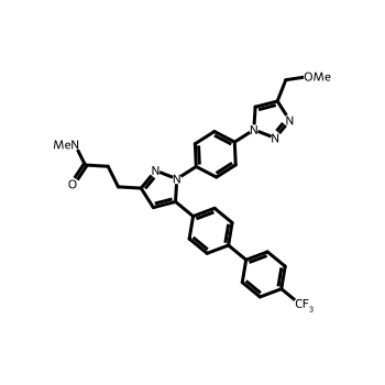 CNC(=O)CCc1cc(-c2ccc(-c3ccc(C(F)(F)F)cc3)cc2)n(-c2ccc(-n3cc(COC)nn3)cc2)n1